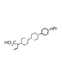 C=CC(C(=O)O)[C@H]1CC[C@H]([C@H]2CC[C@H](c3ccc(CCC)cc3)CC2)CC1